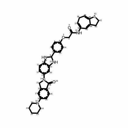 O=C(COc1ccc(C2Nc3ccc(N4Cc5cc(N6CCCCC6)ccc5C4=O)cc3N2)cc1)NC1=CCC=C2SCCC2=C1